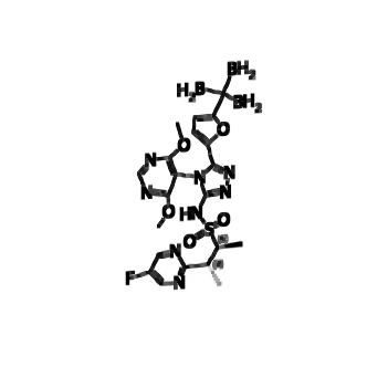 BC(B)(B)c1ccc(-c2nnc(NS(=O)(=O)[C@@H](C)[C@H](C)c3ncc(F)cn3)n2-c2c(OC)ncnc2OC)o1